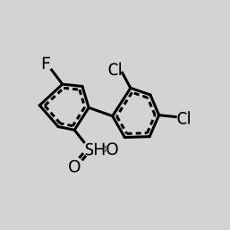 O=[SH](=O)c1ccc(F)cc1-c1ccc(Cl)cc1Cl